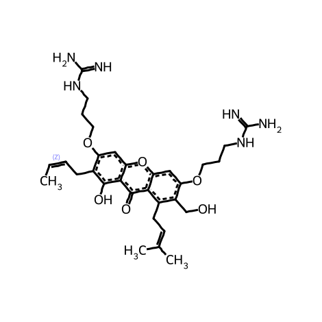 C/C=C\Cc1c(OCCCNC(=N)N)cc2oc3cc(OCCCNC(=N)N)c(CO)c(CC=C(C)C)c3c(=O)c2c1O